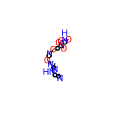 Cc1cnc(Nc2ccc3cnccc3c2)cc1N1CC(OC2CCN(CCOc3ccc4c(c3)C(=O)N(C3CCC(=O)NC3=O)C4=O)CC2)C1